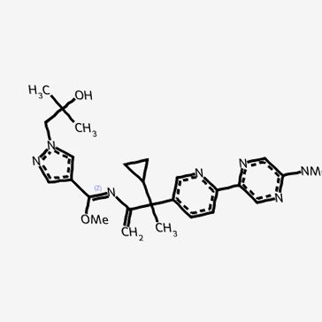 C=C(/N=C(\OC)c1cnn(CC(C)(C)O)c1)C(C)(c1ccc(-c2cnc(NC)cn2)nc1)C1CC1